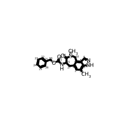 Cc1cc2c(c3cn[nH]c13)CN(C)C(=O)C(NC(=O)OCc1ccccc1)C2